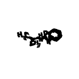 CC(C)CNc1nc2ccccc2o1